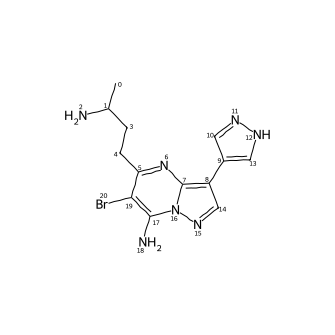 CC(N)CCc1nc2c(-c3cn[nH]c3)cnn2c(N)c1Br